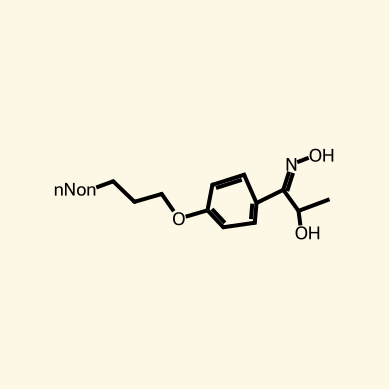 CCCCCCCCCCCCOc1ccc(C(=NO)C(C)O)cc1